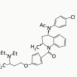 CCN(CC)C(CCOc1ccc(C(=O)N2c3ccccc3[C@H](N(C(C)=O)c3ccc(Cl)cc3)C[C@@H]2C)cc1)C(=O)O